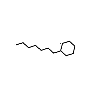 [CH2]CCCCCCC1[CH]CCCC1